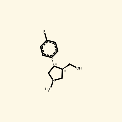 CN1C[C@H](CO)[C@@H](c2ccc(F)cc2)C1